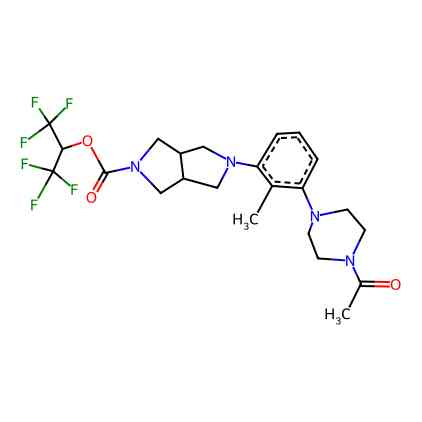 CC(=O)N1CCN(c2cccc(N3CC4CN(C(=O)OC(C(F)(F)F)C(F)(F)F)CC4C3)c2C)CC1